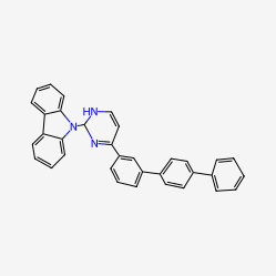 C1=CC(c2cccc(-c3ccc(-c4ccccc4)cc3)c2)=NC(n2c3ccccc3c3ccccc32)N1